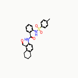 Cc1ccc(S(=O)(=O)Nc2ccccc2C(=O)Nc2ccc3c(c2C=O)CCCC3)cc1